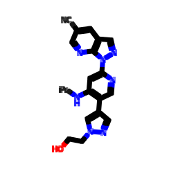 CC(C)Nc1cc(-n2ncc3cc(C#N)cnc32)ncc1-c1cnn(CCO)c1